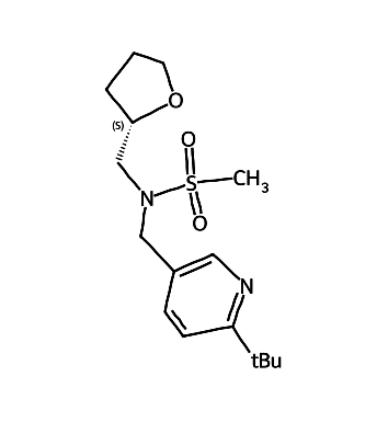 CC(C)(C)c1ccc(CN(C[C@@H]2CCCO2)S(C)(=O)=O)cn1